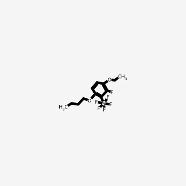 CCCCOc1ccc(OCC)c(F)c1S(F)(F)(F)(F)F